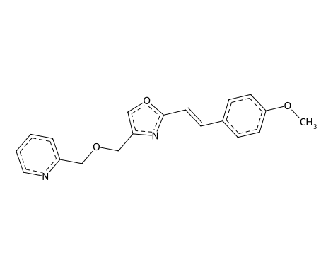 COc1ccc(/C=C/c2nc(COCc3ccccn3)co2)cc1